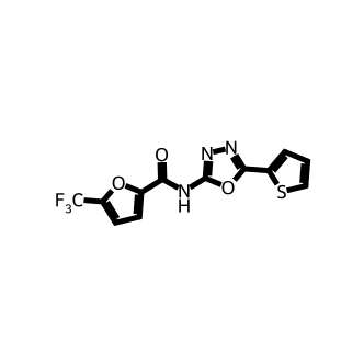 O=C(Nc1nnc(-c2cccs2)o1)c1ccc(C(F)(F)F)o1